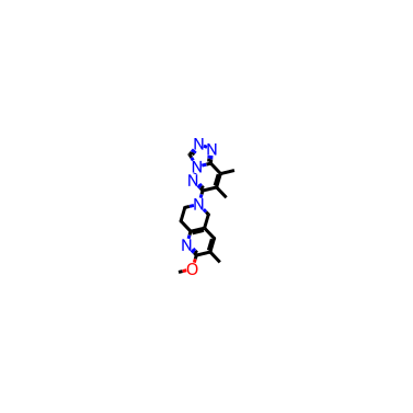 COc1nc2c(cc1C)CN(c1nn3cnnc3c(C)c1C)CC2